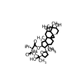 CC(C)[C@H](NCl)C(=O)O[C@H]1C[C@@]2(C)C3C[C@H](O)[C@H]4C(C)(C)[C@@H](O)CC[C@@]45CC35CC[C@]2(C)[C@H]1[C@@]1(C)CC[C@@H](C(C)(C)O)O1